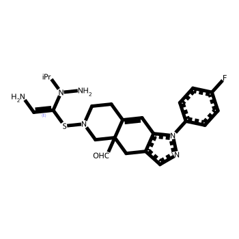 CC(C)N(N)/C(=C\N)SN1CCC2=Cc3c(cnn3-c3ccc(F)cc3)CC2(C=O)C1